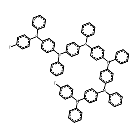 Fc1ccc(N(c2ccccc2)c2ccc(N(c3ccccc3)c3ccc(N(c4ccccc4)c4ccc(N(c5ccccc5)c5ccc(N(c6ccccc6)c6ccc(N(c7ccccc7)c7ccc(F)cc7)cc6)cc5)cc4)cc3)cc2)cc1